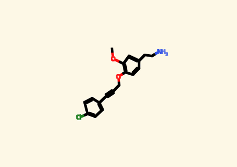 COc1cc(CCN)ccc1OCC#Cc1ccc(Cl)cc1